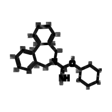 N=C(OC1CCCCC1)N1Cc2ccccc2-c2ccccc2C1